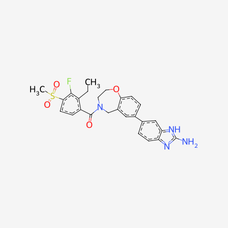 CCc1c(C(=O)N2CCOc3ccc(-c4ccc5nc(N)[nH]c5c4)cc3C2)ccc(S(C)(=O)=O)c1F